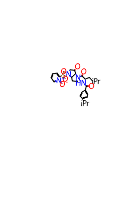 CC(C)CC(NC(=O)c1ccc(C(C)C)cc1)C(=O)N1CCC2C1C(=O)CN2S(=O)(=O)c1cccc[n+]1[O-]